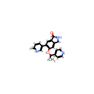 CC(Oc1cc2c(cc1-c1ccc(F)nc1)C(=O)NC2)c1ccncc1